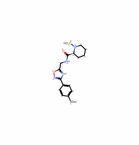 CCCCCCCCCCc1ccc(-c2noc(CNC(=O)[C@@H]3CCCCN3C(=O)O)n2)cc1